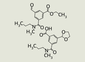 CCCN(C)C(=O)c1cc(C(=O)O)cc(C2OCCO2)c1.CCCN(C)C(=O)c1cc(C=O)cc(C(=O)OCC)c1